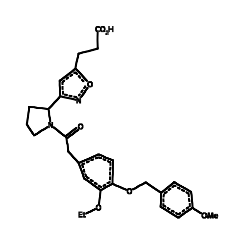 CCOc1cc(CC(=O)N2CCCC2c2cc(CCC(=O)O)on2)ccc1OCc1ccc(OC)cc1